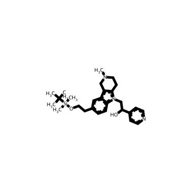 CN1CCc2c(c3cc(CCO[Si](C)(C)C(C)(C)C)ccc3n2CC(O)c2ccncc2)C1